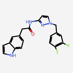 O=C(Cc1ccc2[nH]ccc2c1)Nc1ccn(Cc2ccc(F)c(F)c2)n1